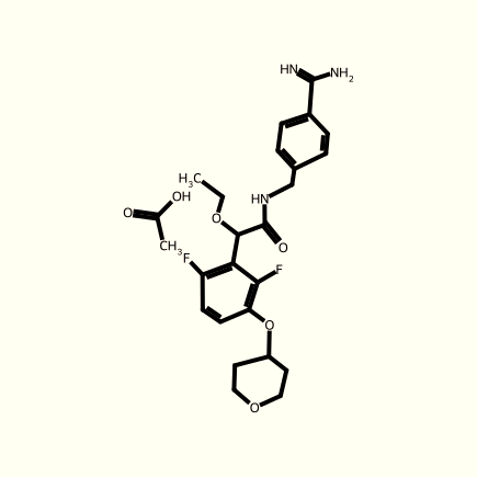 CC(=O)O.CCOC(C(=O)NCc1ccc(C(=N)N)cc1)c1c(F)ccc(OC2CCOCC2)c1F